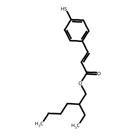 CCCCC(CC)COC(=O)/C=C/c1ccc(S)cc1